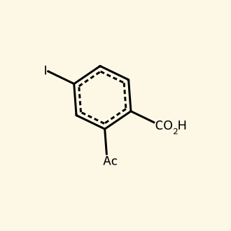 CC(=O)c1cc(I)ccc1C(=O)O